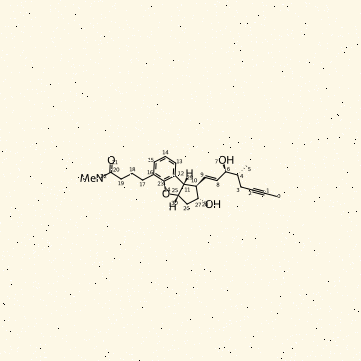 CC#CC[C@@H](C)[C@H](O)/C=C/[C@@H]1[C@H]2c3cccc(CCCC(=O)NC)c3O[C@H]2C[C@H]1O